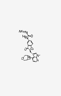 CNC(=O)Nc1ccc2c(c1)C(=O)C(=Cc1cn(C)c3nccc(N4C5CCC4COC5)c13)O2